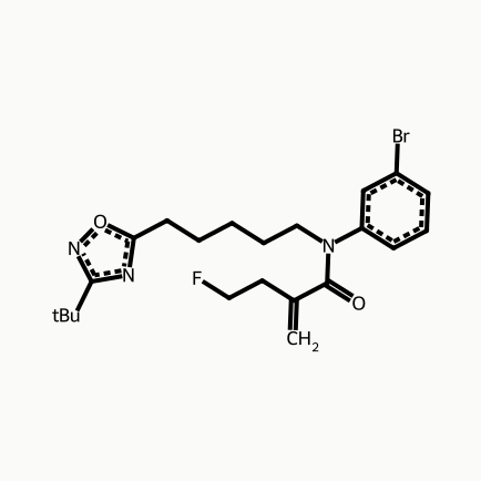 C=C(CCF)C(=O)N(CCCCCc1nc(C(C)(C)C)no1)c1cccc(Br)c1